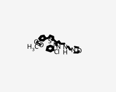 CS(=O)(=O)c1cccc(-c2ccc(-c3cc(CNCCN4CCOCC4)nn3-c3ccccc3Cl)s2)c1